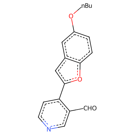 CCCCOc1ccc2oc(-c3ccncc3C=O)cc2c1